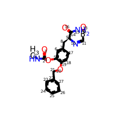 CNC(=O)Oc1cc(C[C@H](/N=C\B=O)C(N)=O)ccc1OCc1ccccc1